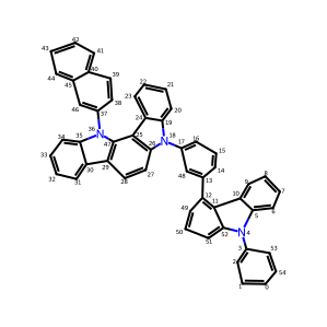 c1ccc(-n2c3ccccc3c3c(-c4cccc(-n5c6ccccc6c6c5ccc5c7ccccc7n(-c7ccc8ccccc8c7)c56)c4)cccc32)cc1